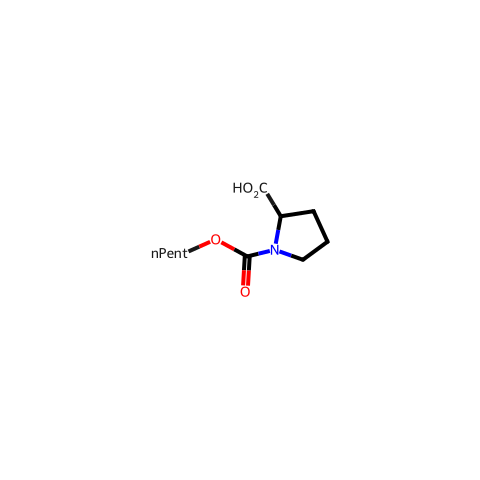 CCCCCOC(=O)N1CCCC1C(=O)O